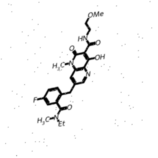 CCN(C)C(=O)c1cc(F)ccc1Cc1cnc2c(O)c(C(=O)NCCOC)c(=O)n(C)c2c1